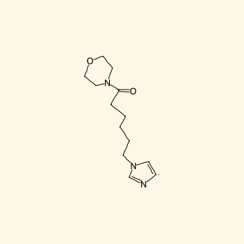 O=C(CCCCCn1c[c]nc1)N1CCOCC1